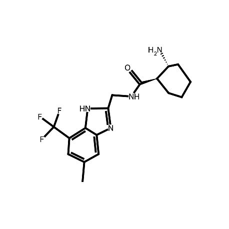 Cc1cc(C(F)(F)F)c2[nH]c(CNC(=O)[C@@H]3CCCC[C@H]3N)nc2c1